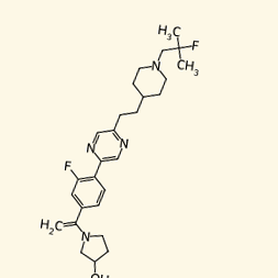 C=C(c1ccc(-c2cnc(CCC3CCN(CC(C)(C)F)CC3)cn2)c(F)c1)N1CCC(O)C1